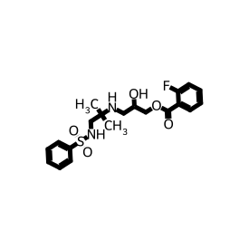 CC(C)(CNS(=O)(=O)c1ccccc1)NCC(O)COC(=O)c1ccccc1F